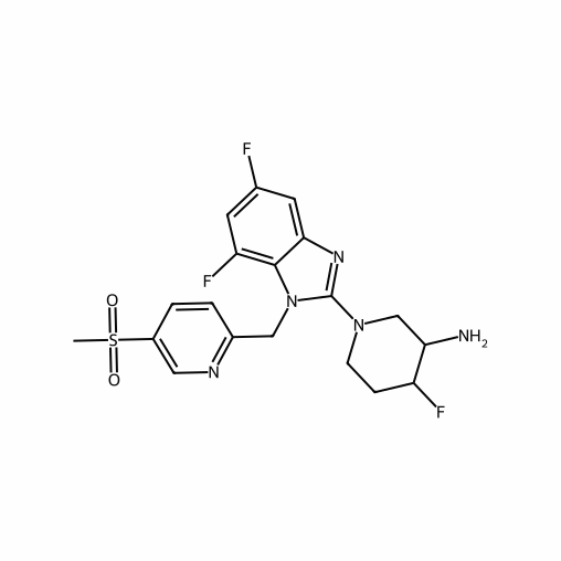 CS(=O)(=O)c1ccc(Cn2c(N3CCC(F)C(N)C3)nc3cc(F)cc(F)c32)nc1